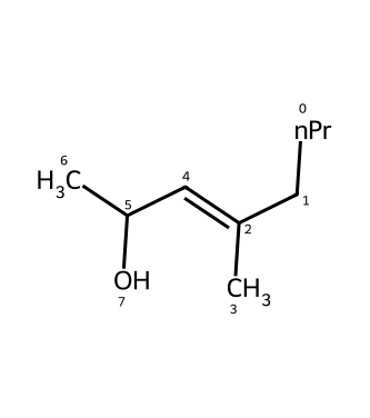 CCCCC(C)=CC(C)O